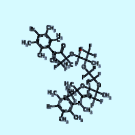 Cc1c(C)c(N(C)C(=O)C(C)(OC(F)(F)C(C)(OC(F)(F)C(F)(F)OC(C)(C(F)(F)F)C(F)(F)OC(C)(C(=O)N(C)c2c(C)c(C)c(Br)c(C)c2C)C(F)(F)F)C(F)(F)F)C(F)(F)F)c(C)c(C)c1Br